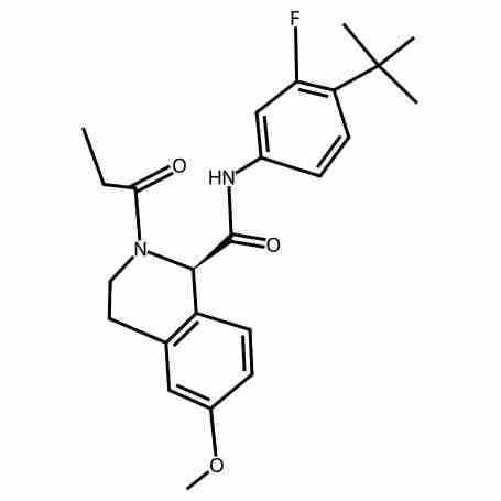 CCC(=O)N1CCc2cc(OC)ccc2[C@@H]1C(=O)Nc1ccc(C(C)(C)C)c(F)c1